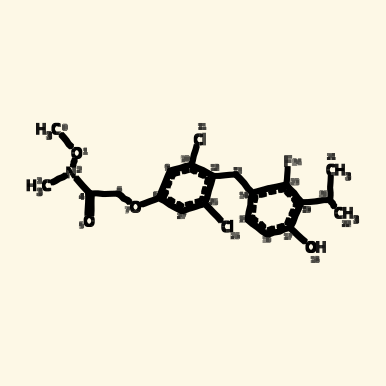 CON(C)C(=O)COc1cc(Cl)c(Cc2ccc(O)c(C(C)C)c2F)c(Cl)c1